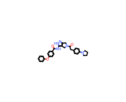 O=C(Nc1[nH]nc2c1CN(C(=O)Cc1ccc(N3CCCC3)cc1)C2)c1ccc(Oc2ccccc2)cc1